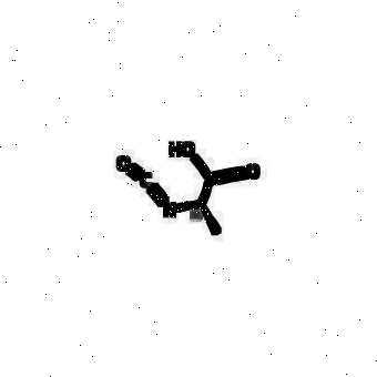 C[C@@H](N=C=O)C(=O)O